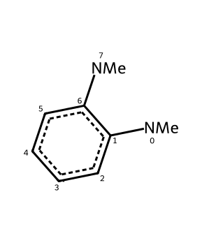 CNc1c[c]ccc1NC